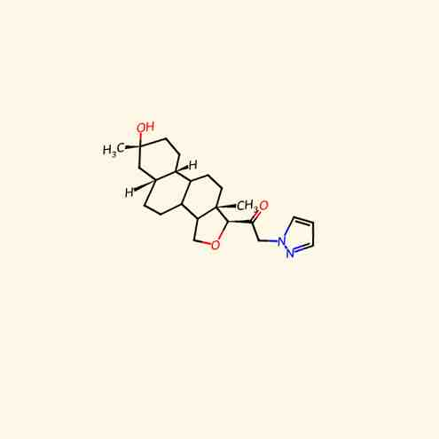 C[C@@]1(O)CC[C@@H]2C3CC[C@@]4(C)C(CO[C@@H]4C(=O)Cn4cccn4)C3CC[C@@H]2C1